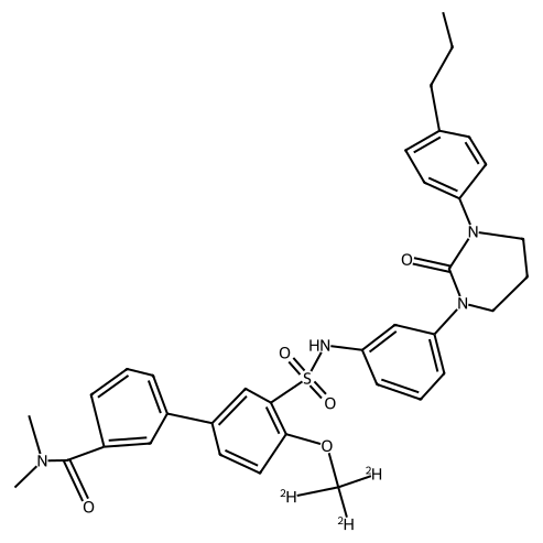 [2H]C([2H])([2H])Oc1ccc(-c2cccc(C(=O)N(C)C)c2)cc1S(=O)(=O)Nc1cccc(N2CCCN(c3ccc(CCC)cc3)C2=O)c1